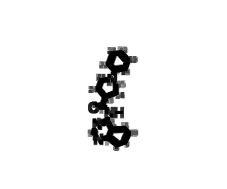 O=C(Nc1ncnc2ccccc12)C1CCN(c2ccccc2)CC1